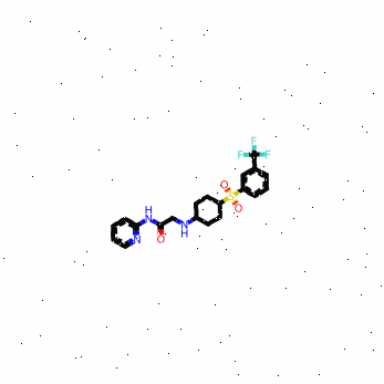 O=C(CNC1CCC(S(=O)(=O)c2cccc(C(F)(F)F)c2)CC1)Nc1ccccn1